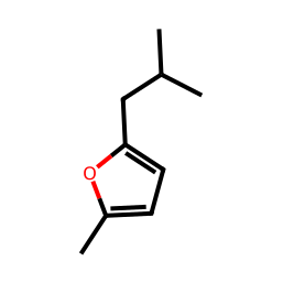 Cc1ccc(CC(C)C)o1